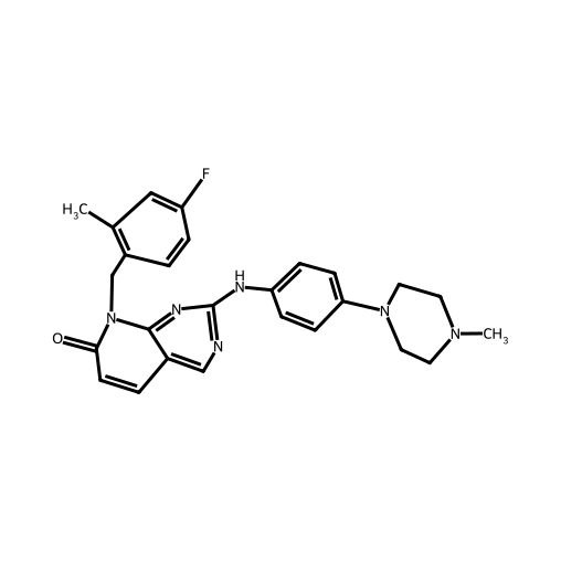 Cc1cc(F)ccc1Cn1c(=O)ccc2cnc(Nc3ccc(N4CCN(C)CC4)cc3)nc21